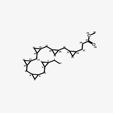 CCC1CC1CC1CC1CC1CC1CC1CC1CC1CC1CC1CC1CCC(=O)OC